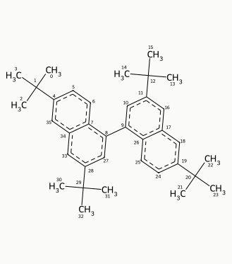 CC(C)(C)c1ccc2c(-c3cc(C(C)(C)C)cc4cc(C(C)(C)C)ccc34)cc(C(C)(C)C)cc2c1